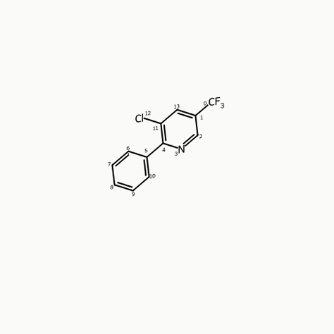 FC(F)(F)c1cnc(-c2[c]cccc2)c(Cl)c1